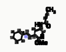 CC#CC(=O)Nc1cnc(OC)c(/C=C/C2CCCCC2)c1